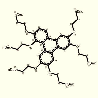 CCCCCCCCCCCCOc1cc2c(cc1OCCCCCCCCCCCC)c1ccc(OCCCCCCCCCCCC)c(OCCCCCCCCCCCC)c1c1cc(OCCCCCCCCCCCC)c(OCCCCCCCCCCCC)cc21